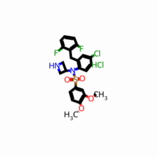 COc1ccc(S(=O)(=O)N(c2ccc(Cl)cc2Cc2c(F)cccc2F)C2CNC2)cc1OC.Cl